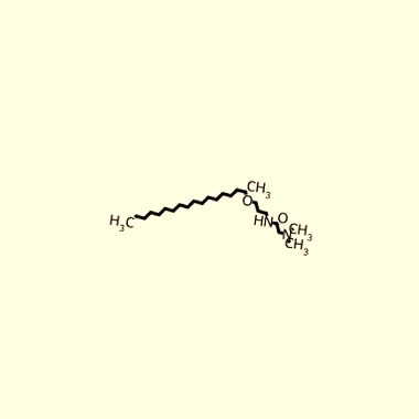 CCCCCCCCCCCCCCCCC(C)OCCCNC(=O)CN(C)C